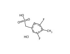 Cc1c(F)cc(CS(=O)(=O)O)cc1F.Cl